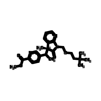 COC(=O)c1ccc(C(C)[C@@]2(C)C(=O)N(COCC[Si](C)(C)C)c3ncccc32)cn1